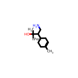 CCCCCC(C)(O)C(CN)C1CC=C(C)CC1